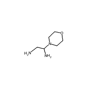 NCC(N)N1CCOCC1